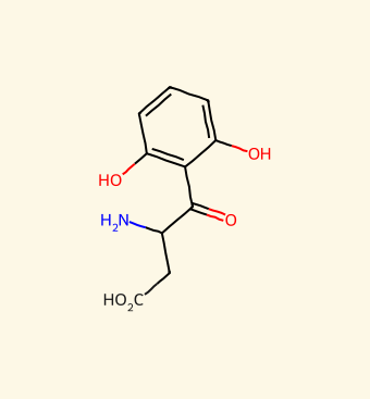 NC(CC(=O)O)C(=O)c1c(O)cccc1O